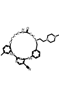 Cc1ccc2c(c1)Nc1ncc(C#N)c(n1)Nc1cccc(c1)CN(CCN1CCN(C)CC1)CCC(=O)NCCCO2